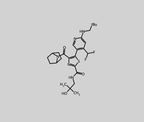 CC(C)(C)CNc1cc(C(F)F)c(-c2sc(C(=O)NCC(C)(C)O)nc2C(=O)N2C3CCC2CC3)cn1